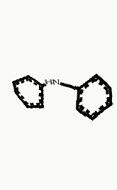 [c]1ccc(Nc2cc[c]cc2)cc1